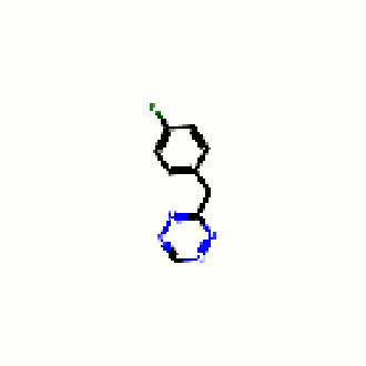 Fc1ccc(Cc2nncnn2)cc1